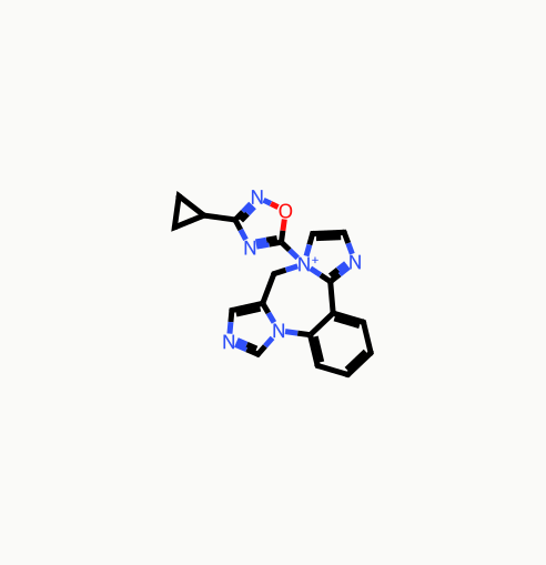 C1=C[N+]2(c3nc(C4CC4)no3)Cc3cncn3-c3ccccc3C2=N1